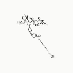 CCCCCCCCCCCCCC(=O)N1CCN(Cc2ccc(-c3cc(C(=O)NCc4c(C)cc(C)[nH]c4=O)c(C)c(N(CC)C4CCOCC4)c3)cc2)CC1